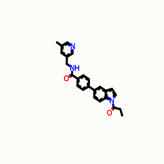 CCC(=O)n1ccc2cc(-c3ccc(C(=O)NCc4cncc(C)c4)cc3)ccc21